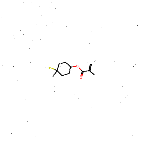 C=C(C)C(=O)OC1CCC(C)(S)CC1